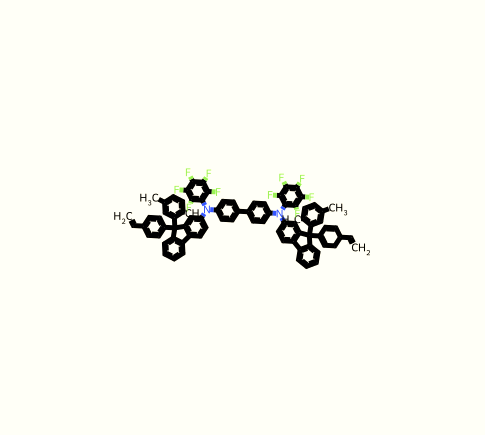 C=Cc1ccc(C2(c3cc(C)ccc3C)c3ccccc3-c3ccc(N(c4ccc(-c5ccc(N(c6ccc7c(c6)C(C6=CCC(C=C)C=C6)(c6cc(C)ccc6C)c6ccccc6-7)c6c(F)c(F)c(F)c(F)c6F)cc5)cc4)c4c(F)c(F)c(F)c(F)c4F)cc32)cc1